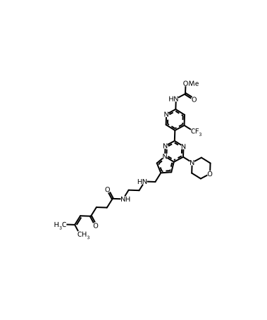 COC(=O)Nc1cc(C(F)(F)F)c(-c2nc(N3CCOCC3)c3cc(CNCCNC(=O)CCC(=O)C=C(C)C)cn3n2)cn1